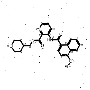 CCOc1ccc(C(=O)Nc2cccnc2C(=O)NCC2CCOCC2)c2ccccc12